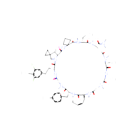 CCC[C@H]1C(=O)N[C@@H]([C@@H](C)CC)C(=O)N(C)CC(=O)N(C)[C@H]2C/C=C\CCN(C2=O)[C@@H](Cc2ccc(C(F)(F)F)cc2)C(=O)N(C)CC(=O)N[C@@H](CCc2cc(F)c(C(F)(F)F)c(F)c2)C(=O)N2CC3(CC3)C[C@H]2C(=O)NC2(CCC2)C(=O)N(C)[C@@H](CC(C)(C)C)C(=O)N(C)[C@H](C(=O)N(C)C)CC(=O)N1C